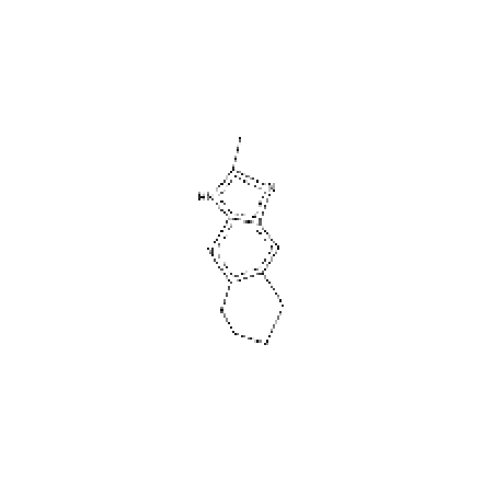 Cc1nc2cc3c(nc2[nH]1)CCCC3